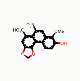 COc1c(O)ccc2c1cc([N+](=O)[O-])c1c(C(=O)O)cc3c(c12)OCO3